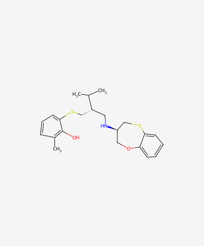 Cc1cccc(SC[C@@H](CN[C@@H]2COc3ccccc3SC2)C(C)C)c1O